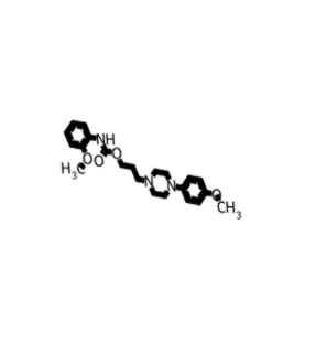 COc1ccc(N2CCN(CCCOC(=O)Nc3ccccc3OC)CC2)cc1